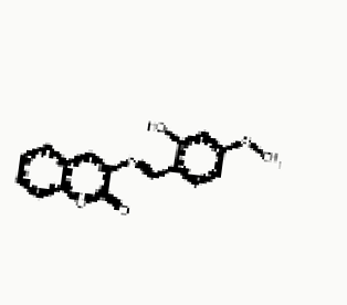 COc1ccc(C=Nc2cc3ccccc3oc2=O)c(O)c1